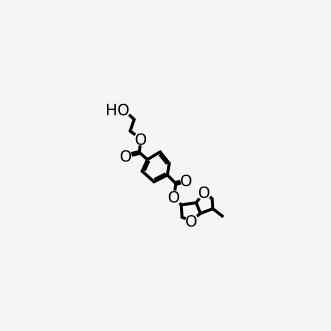 CC1COC2C(OC(=O)c3ccc(C(=O)OCCO)cc3)COC12